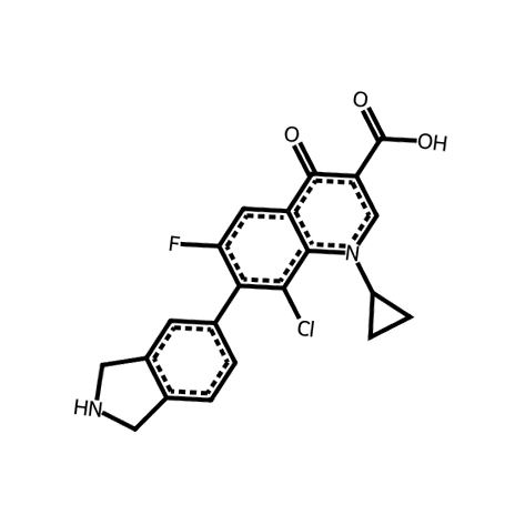 O=C(O)c1cn(C2CC2)c2c(Cl)c(-c3ccc4c(c3)CNC4)c(F)cc2c1=O